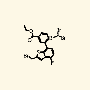 BrP(Br)Br.CCOC(=O)c1cccc(-c2ccc(F)c3cc(CBr)sc23)c1